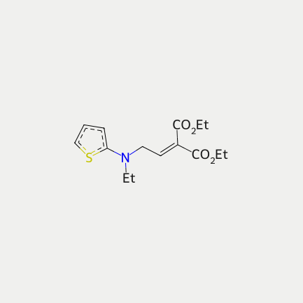 CCOC(=O)C(=CCN(CC)c1cccs1)C(=O)OCC